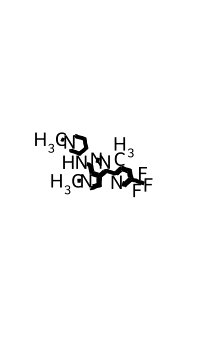 Cc1cc(C(F)(F)F)cnc1-c1nnc(N[C@@H]2CCCN(C)C2)c2c1ccn2C